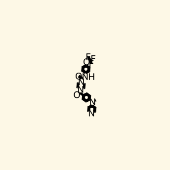 CN(c1ccncc1)c1ccc(C(=O)N2CCN(C(=O)Nc3ccc(OC(F)(F)F)cc3)CC2)cc1